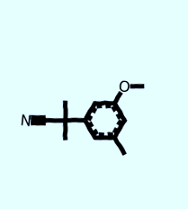 COc1cc(C)cc(C(C)(C)C#N)c1